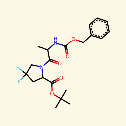 CC(NC(=O)OCc1ccccc1)C(=O)N1CC(F)(F)CC1C(=O)OC(C)(C)C